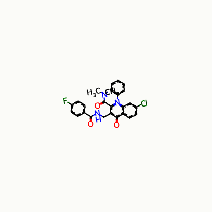 CN(C)C(=O)c1c(CNC(=O)c2ccc(F)cc2)c(=O)c2ccc(Cl)cc2n1-c1ccccc1